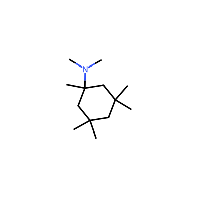 CN(C)C1(C)CC(C)(C)CC(C)(C)C1